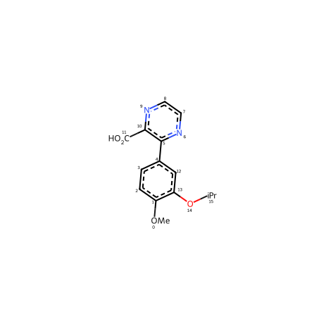 COc1ccc(-c2nccnc2C(=O)O)cc1OC(C)C